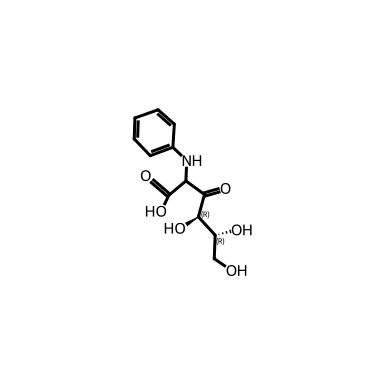 O=C(O)C(Nc1ccccc1)C(=O)[C@H](O)[C@H](O)CO